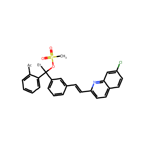 CCC(OS(C)(=O)=O)(c1cccc(C=Cc2ccc3ccc(Cl)cc3n2)c1)c1ccccc1C(C)=O